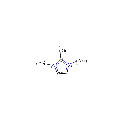 CCCCCCCCCC[n+]1ccn(CCCCCCCCC)c1CCCCCCCC